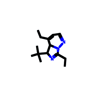 CCC1=CC=NN2C(CC)=NC(C(C)(C)C)C12